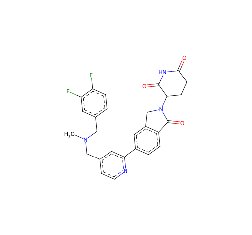 CN(Cc1ccnc(-c2ccc3c(c2)CN(C2CCC(=O)NC2=O)C3=O)c1)Cc1ccc(F)c(F)c1